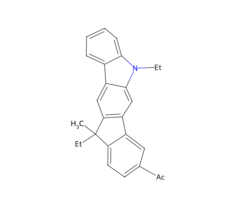 CCn1c2ccccc2c2cc3c(cc21)-c1cc(C(C)=O)ccc1C3(C)CC